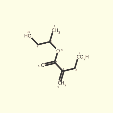 C=C(CC(=O)O)C(=O)OC(C)CO